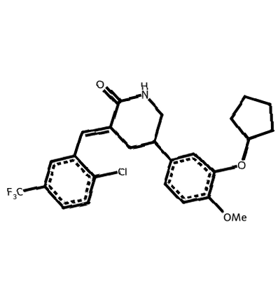 COc1ccc(C2CNC(=O)C(=Cc3cc(C(F)(F)F)ccc3Cl)C2)cc1OC1CCCC1